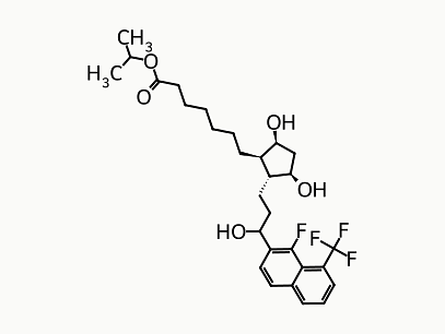 CC(C)OC(=O)CCCCCC[C@@H]1[C@@H](CCC(O)c2ccc3cccc(C(F)(F)F)c3c2F)[C@H](O)C[C@@H]1O